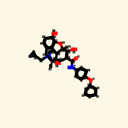 O=C(Nc1ccc(Oc2ccccc2)cc1)C1=C(O)[C@@H]2Oc3c(O)ccc4c3[C@@]23CCN(CC2CC2)[C@H](C4)[C@]3(O)C1